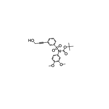 COc1ccc(N(C(=O)OC(C)(C)C)S(=O)(=O)c2cccc(C#CCO)c2)cc1OC